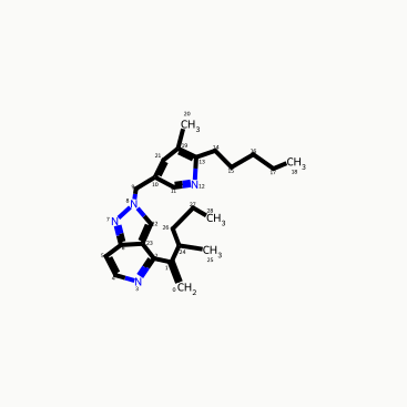 C=C(c1nccc2nn(Cc3cnc(CCCCC)c(C)c3)cc12)C(C)CCC